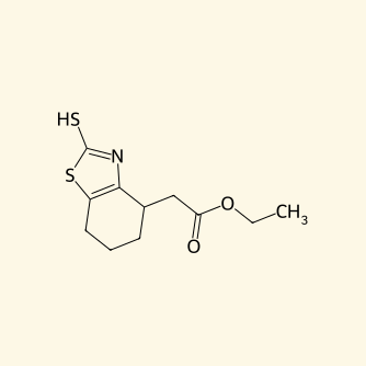 CCOC(=O)CC1CCCc2sc(S)nc21